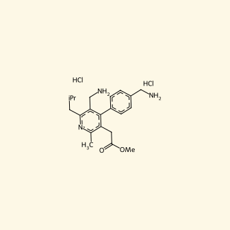 COC(=O)Cc1c(C)nc(CC(C)C)c(CN)c1-c1ccc(CN)cc1.Cl.Cl